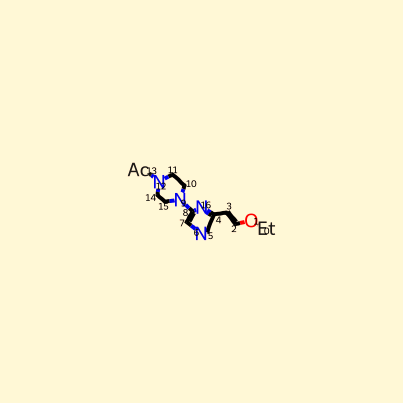 CCOC=Cc1cncc(N2CCN(C(C)=O)CC2)n1